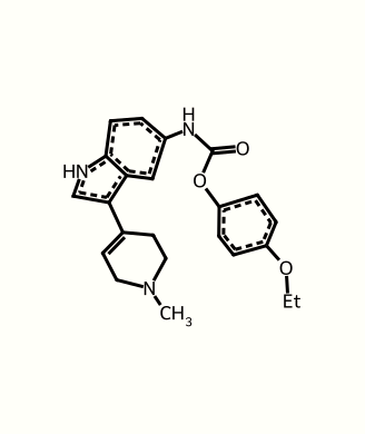 CCOc1ccc(OC(=O)Nc2ccc3[nH]cc(C4=CCN(C)CC4)c3c2)cc1